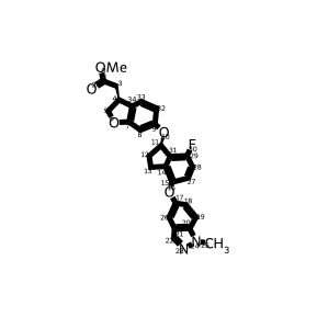 COC(=O)C[C@@H]1COc2cc(O[C@@H]3CCc4c(Oc5ccc6c(cnn6C)c5)ccc(F)c43)ccc21